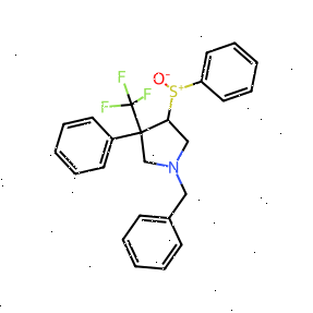 [O-][S+](c1ccccc1)C1CN(Cc2ccccc2)CC1(c1ccccc1)C(F)(F)F